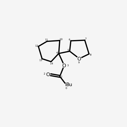 CCC(C)C(=O)OC1(C2CCCO2)CCCCC1